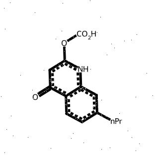 CCCc1ccc2c(=O)cc(OC(=O)O)[nH]c2c1